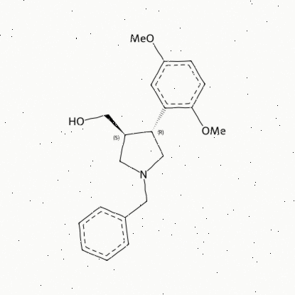 COc1ccc(OC)c([C@@H]2CN(Cc3ccccc3)C[C@H]2CO)c1